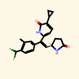 Cc1cc(C(=C[C@H]2CCC(=O)N2)c2ccc(C3CC3)c(=O)[nH]2)ccc1C(F)F